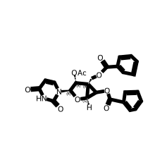 CC(=O)O[C@H]1[C@H](n2ccc(=O)[nH]c2=O)O[C@@H]2C(OC(=O)c3ccccc3)[C@@]21COC(=O)c1ccccc1